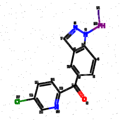 O=C(c1ccc2c(cnn2PI)c1)c1ccc(Cl)cn1